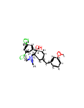 COc1cccc(CC2CCC(O)(c3cc(Cl)cc(Cl)c3)C(CN(C)C)C2)c1